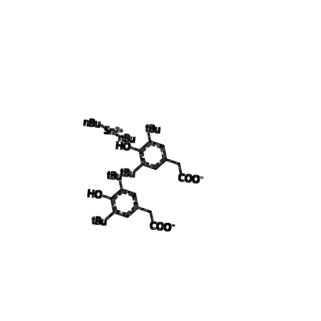 CC(C)(C)c1cc(CC(=O)[O-])cc(C(C)(C)C)c1O.CC(C)(C)c1cc(CC(=O)[O-])cc(C(C)(C)C)c1O.CCC[CH2][Sn+2][CH2]CCC